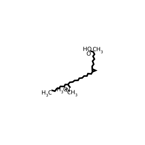 CCCCCCCCC(CCCCCCCCCCC1CC1CCCCCCC(C)C(=O)O)CN(C)C